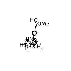 COC(C#Cc1ccc(C(=O)N[C@H](C(=O)NO)C(C)(C)S(C)(=O)=O)cc1)CO